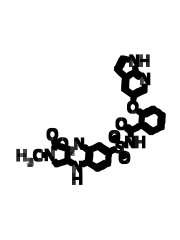 CN1CC(Nc2ccc(S(=O)(=O)NC(=O)c3ccccc3Oc3cnc4[nH]ccc4c3)cc2[N+](=O)[O-])CC1=O